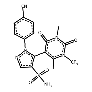 Cc1c(-c2c(S(N)(=O)=O)cnn2-c2ccc(C#N)cc2)c(=O)n(C)c(=O)n1C(F)(F)F